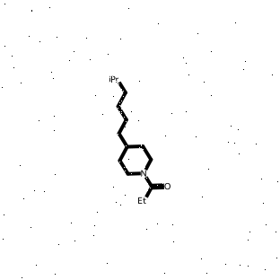 CCC(=O)N1CCC(CCCCC(C)C)CC1